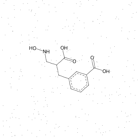 O=C(O)c1cccc(CC(CNO)C(=O)O)c1